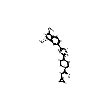 Cc1nn(C)c2cc(-c3noc(C4CCN(C(=O)CC5CC5)CC4)n3)ccc12